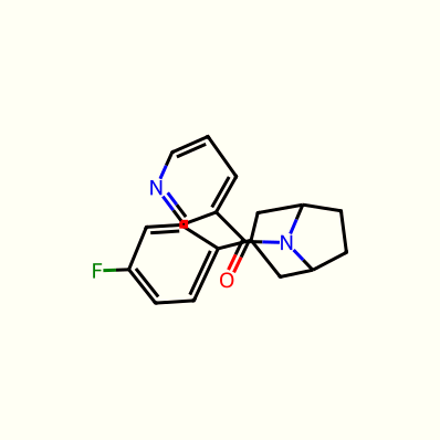 O=C(c1cccnc1)N1C2CCC1CC(c1ccc(F)cc1)C2